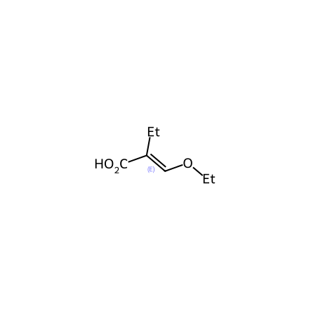 CCO/C=C(\CC)C(=O)O